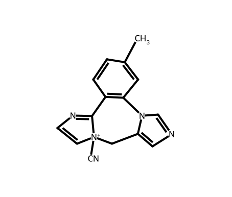 Cc1ccc2c(c1)-n1cncc1C[N+]1(C#N)C=CN=C21